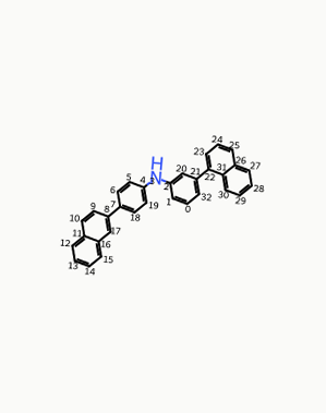 c1cc(Nc2ccc(-c3ccc4ccccc4c3)cc2)cc(-c2cccc3ccccc23)c1